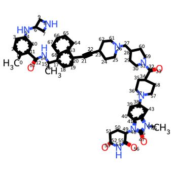 Cc1ccc(NC2CNC2)cc1C(=O)N[C@H](C)c1ccc(C#CC2CCN(CC3CCN(C(=O)C4CCN(c5ccc6c(c5)n(C)c(=O)n6C5CCC(=O)NC5=O)CC4)CC3)CC2)c2ccccc12